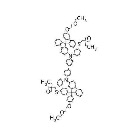 CCOCCOc1ccc(C2(c3ccc(SCC4(CC)COC4)cc3)c3ccccc3-c3ccc(N(c4ccccc4)c4ccc(-c5ccc(N(c6ccccc6)c6ccc7c(c6)C(c6ccc(OCCOCC)cc6)(c6ccc(SCC8(CC)COC8)cc6)c6ccccc6-7)cc5)cc4)cc32)cc1